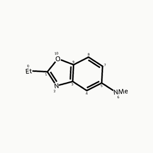 CCc1nc2cc(NC)ccc2o1